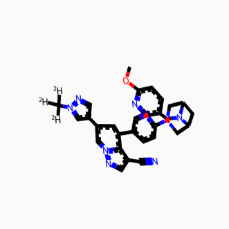 [2H]C([2H])([2H])n1cc(-c2cc(-c3ccc(N4CC5CC(C4)N5Cc4ccc(OC)nc4)nc3)c3c(C#N)cnn3c2)cn1